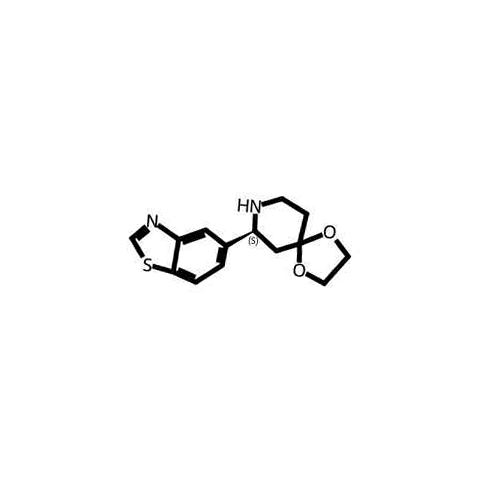 c1nc2cc([C@@H]3CC4(CCN3)OCCO4)ccc2s1